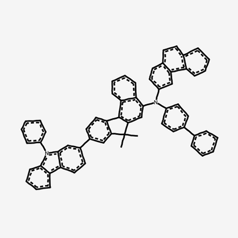 CC1(C)c2cc(-c3ccc4c5ccccc5n(-c5ccccc5)c4c3)ccc2-c2c1cc(N(c1ccc(-c3ccccc3)cc1)c1ccc3ccc4ccccc4c3c1)c1ccccc21